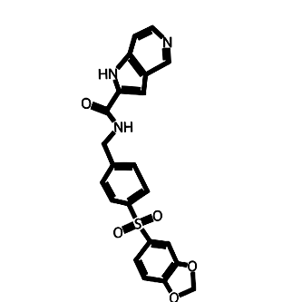 O=C(NCc1ccc(S(=O)(=O)c2ccc3c(c2)OCO3)cc1)c1cc2cnccc2[nH]1